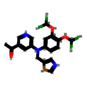 CC(=O)c1cncc(N(Cc2cncs2)c2ccc(OC(F)F)c(OC(F)F)c2)c1